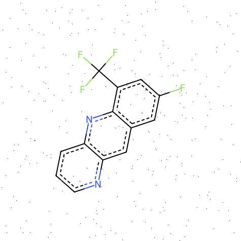 Fc1cc(C(F)(F)F)c2nc3cccnc3cc2c1